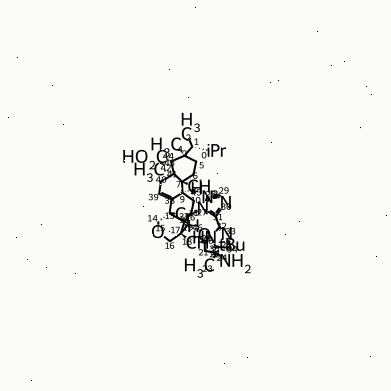 CC(C)[C@@H](C)[C@@]1(C)CC[C@]2(C)[C@H]3CC[C@@H]4[C@@]5(COC[C@@]4(C)[C@@H](OC[C@](C)(N)C(C)(C)C)[C@H](n4ncnc4C4=NCCN4)C5)C3=CC[C@@]2(C)[C@@H]1C(=O)O